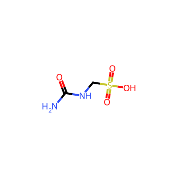 NC(=O)NCS(=O)(=O)O